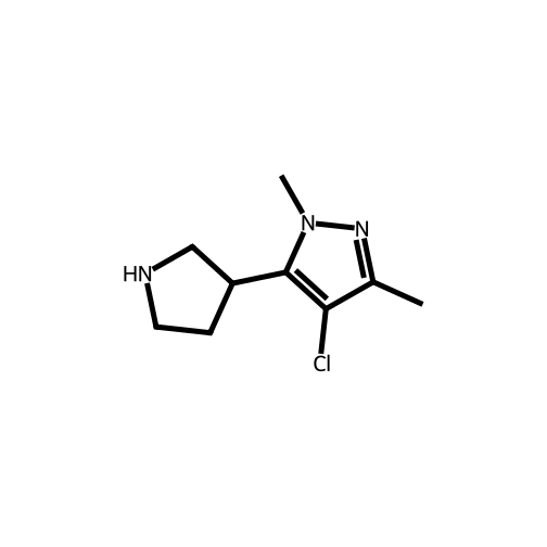 Cc1nn(C)c(C2CCNC2)c1Cl